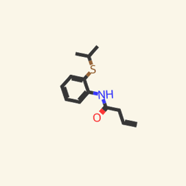 C=CCC(=O)Nc1ccccc1SC(C)C